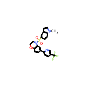 Cn1ccc2cc(S(=O)(=O)N3CCOc4ccc(-c5ccc(C(F)(F)F)cn5)cc43)ccc21